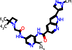 Cc1ncc(NC(=O)CN2CCC2(C)C)cc1NC(=O)c1cnc2[nH]c(-c3cnn(C)c3)cc2c1